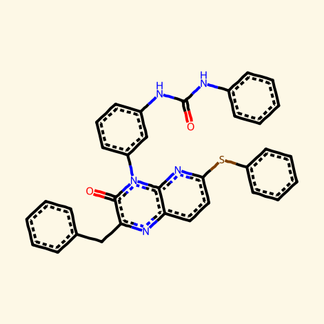 O=C(Nc1ccccc1)Nc1cccc(-n2c(=O)c(Cc3ccccc3)nc3ccc(Sc4ccccc4)nc32)c1